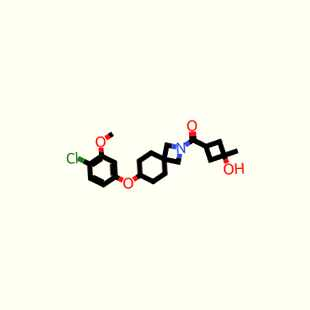 COc1cc(OC2CCC3(CC2)CN(C(=O)C2CC(C)(O)C2)C3)ccc1Cl